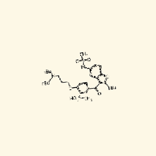 CCCCc1oc2ccc(NS(C)(=O)=O)cc2c1C(=O)c1ccc(OCCCN(CCCC)CCCC)cc1.CS(=O)(=O)O